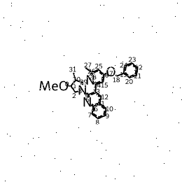 CO[C@@H]1CN(c2nc3ccccc3cc2-c2cc(OCc3ccccc3)cc(C)n2)C[C@@H]1C